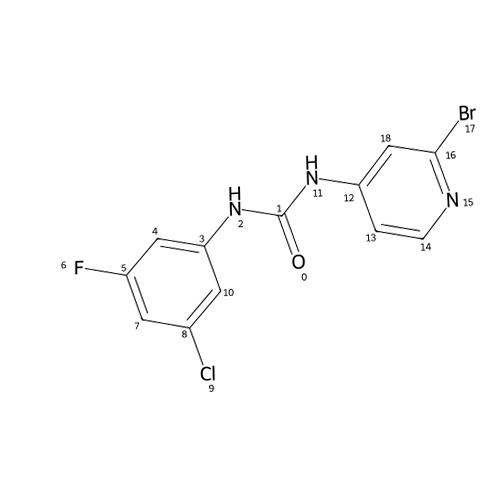 O=C(Nc1cc(F)cc(Cl)c1)Nc1ccnc(Br)c1